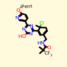 CCC[C@@H](C)Oc1ccc(-c2nc(O)nc(C3=CC(CNC(=O)C(C)(C)C(F)(F)F)=CCC3(C)Cl)n2)cn1